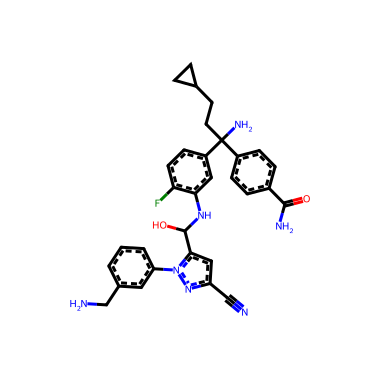 N#Cc1cc(C(O)Nc2cc(C(N)(CCC3CC3)c3ccc(C(N)=O)cc3)ccc2F)n(-c2cccc(CN)c2)n1